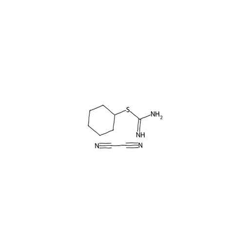 N#CC#N.N=C(N)SC1CCCCC1